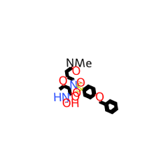 CNC(=O)CC1CN(S(=O)(=O)c2ccc(OCc3ccccc3)cc2)C(C(=O)NO)C(C)O1